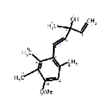 C=CC(C)(O)/C=C/c1c(C)cc(OC)c(C)c1C